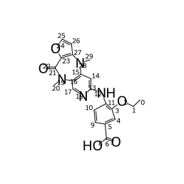 CCOc1cc(C(=O)O)ccc1Nc1cc2c(cn1)N(C)C(=O)c1occc1N2C